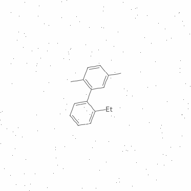 CCc1ccccc1-c1cc(C)ccc1C